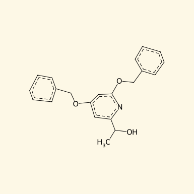 CC(O)c1cc(OCc2ccccc2)cc(OCc2ccccc2)n1